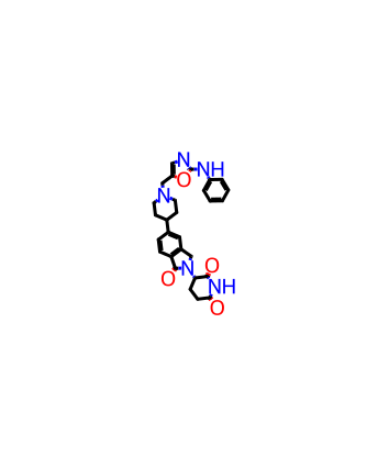 O=C1CCC(N2Cc3cc(C4CCN(Cc5cnc(Nc6ccccc6)o5)CC4)ccc3C2=O)C(=O)N1